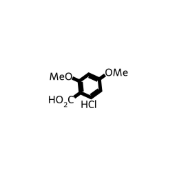 COc1ccc(C(=O)O)c(OC)c1.Cl